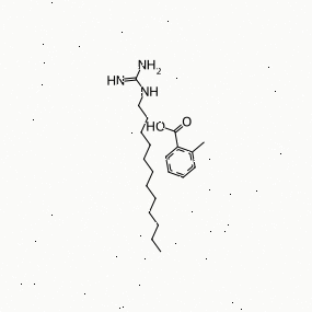 CCCCCCCCCCCCNC(=N)N.Cc1ccccc1C(=O)O